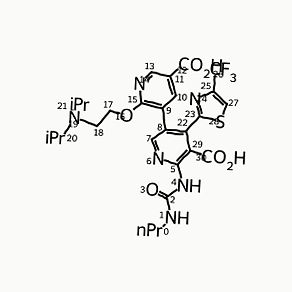 CCCNC(=O)Nc1ncc(-c2cc(C(=O)O)cnc2OCCN(C(C)C)C(C)C)c(-c2nc(C(F)(F)F)cs2)c1C(=O)O